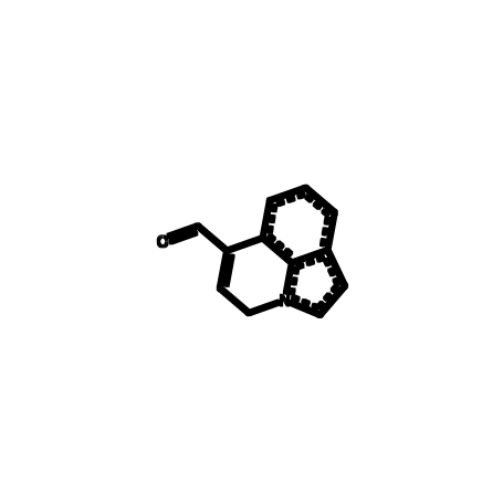 O=CC1=CCn2ccc3cccc1c32